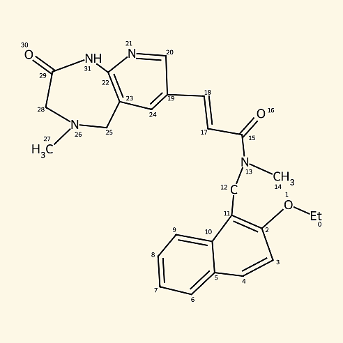 CCOc1ccc2ccccc2c1CN(C)C(=O)C=Cc1cnc2c(c1)CN(C)CC(=O)N2